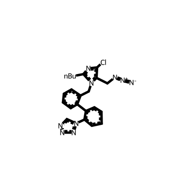 CCCCc1nc(Cl)c(CN=[N+]=[N-])n1Cc1ccccc1-c1ccccc1-n1cnnn1